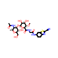 CO[C@@H]1C(C(=O)NCC(=O)Nc2ccc3nc(C#N)sc3c2)O[C@@H](O[C@@H]2C(NC(C)=O)[C@H](C)OC(CO)[C@H]2O)C(O)[C@H]1O